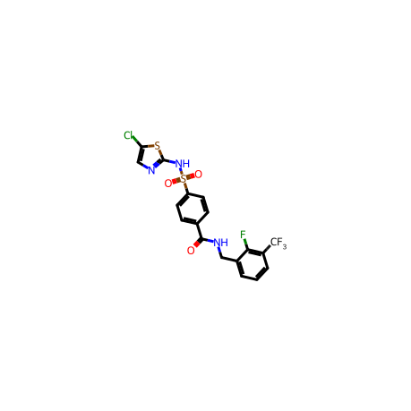 O=C(NCc1cccc(C(F)(F)F)c1F)c1ccc(S(=O)(=O)Nc2ncc(Cl)s2)cc1